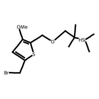 COc1cc(CBr)sc1COCC(C)(C)[SiH](C)C